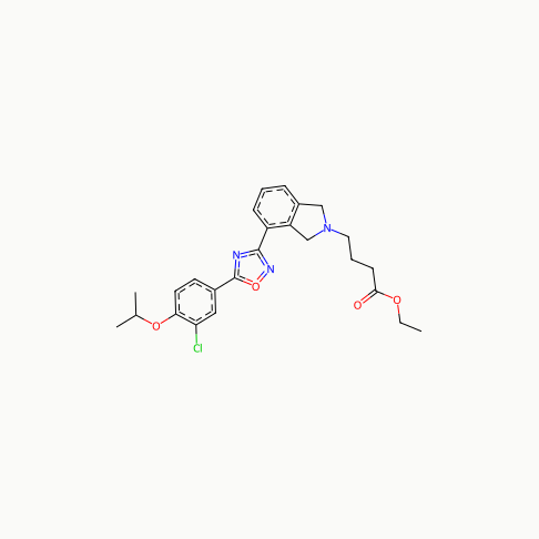 CCOC(=O)CCCN1Cc2cccc(-c3noc(-c4ccc(OC(C)C)c(Cl)c4)n3)c2C1